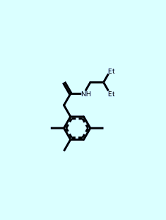 C=C(Cc1cc(C)cc(C)c1C)NCC(CC)CC